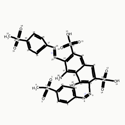 CS(=O)(=O)c1ccc(/N=N\c2c(S(=O)(=O)O)cc3cc(S(=O)(=O)O)c(/N=N/c4ccc(S(C)(=O)=O)cc4)c(N)c3c2O)cc1